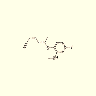 C#C/C=C\C=C(/C)Sc1ccc(F)cc1BC